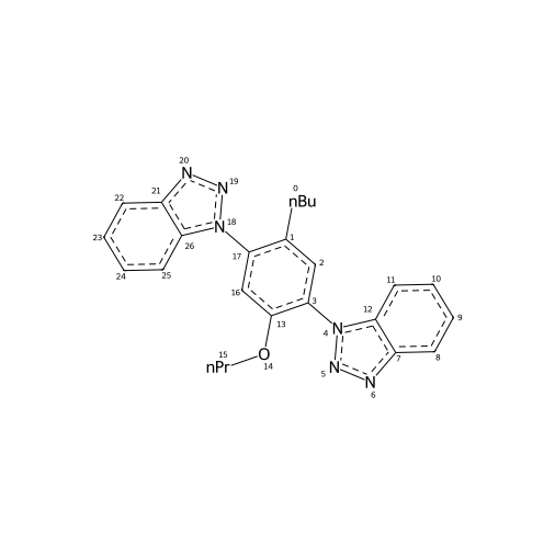 CCCCc1cc(-n2nnc3ccccc32)c(OCCC)cc1-n1nnc2ccccc21